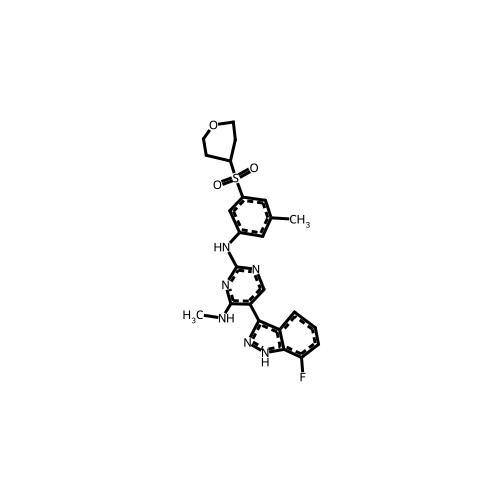 CNc1nc(Nc2cc(C)cc(S(=O)(=O)C3CCOCC3)c2)ncc1-c1n[nH]c2c(F)cccc12